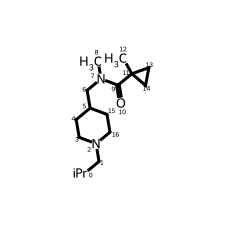 CC(C)CN1CCC(CN(C)C(=O)C2(C)CC2)CC1